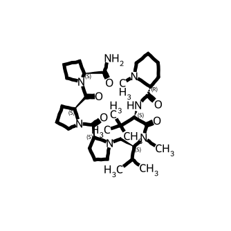 CC(C)[C@@H](CN1CCC[C@H]1C(=O)N1CCC[C@H]1C(=O)N1CCC[C@H]1C(N)=O)N(C)C(=O)[C@@H](NC(=O)[C@H]1CCCCN1C)C(C)(C)C